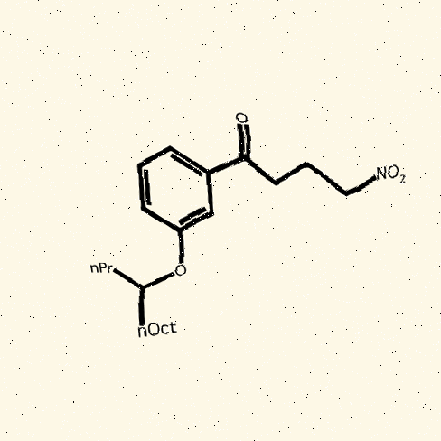 CCCCCCCCC(CCC)Oc1cccc(C(=O)CCC[N+](=O)[O-])c1